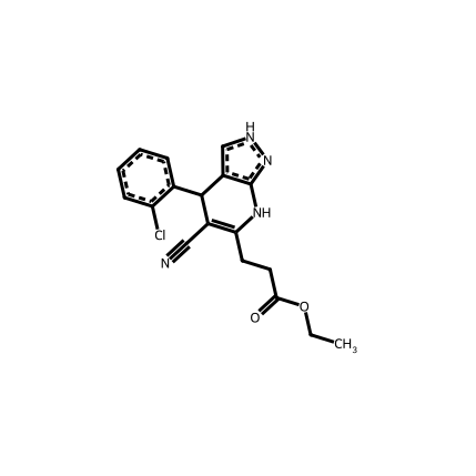 CCOC(=O)CCC1=C(C#N)C(c2ccccc2Cl)c2c[nH]nc2N1